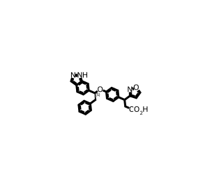 O=C(O)CC(c1ccc(O[C@@H](Cc2ccccc2)c2ccc3cn[nH]c3c2)cc1)c1ccon1